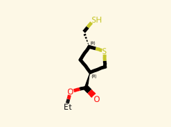 CCOC(=O)[C@@H]1CS[C@@H](CS)C1